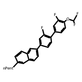 CCCCCc1ccc2cc(-c3ccc(-c4ccc(OC(F)F)c(F)c4)c(F)c3)ccc2c1